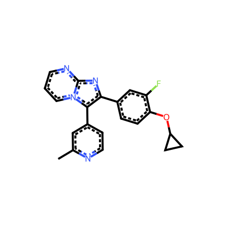 Cc1cc(-c2c(-c3ccc(OC4CC4)c(F)c3)nc3ncccn23)ccn1